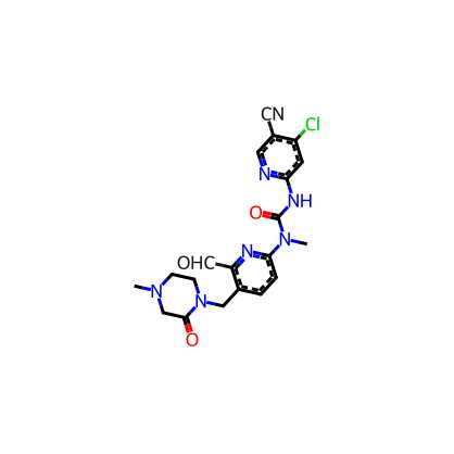 CN1CCN(Cc2ccc(N(C)C(=O)Nc3cc(Cl)c(C#N)cn3)nc2C=O)C(=O)C1